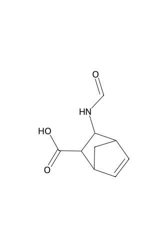 O=CNC1C2C=CC(C2)C1C(=O)O